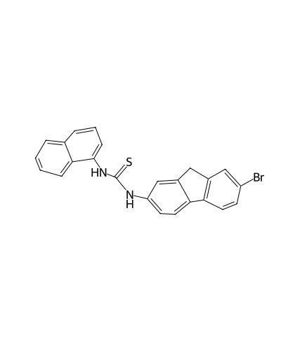 S=C(Nc1ccc2c(c1)Cc1cc(Br)ccc1-2)Nc1cccc2ccccc12